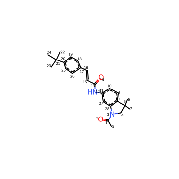 CC(=O)N1CC(C)(C)c2ccc(NC(=O)C=Cc3ccc(C(C)(C)C)cc3)cc21